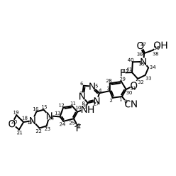 N#Cc1cc(-c2ncnc(Nc3ccc(N4CCN(C5COC5)CC4)cc3F)n2)ccc1O[C@H]1CCN(C(=O)CO)CC1F